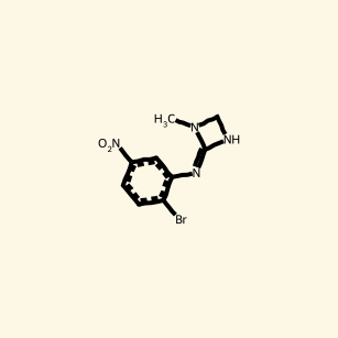 CN1CN/C1=N/c1cc([N+](=O)[O-])ccc1Br